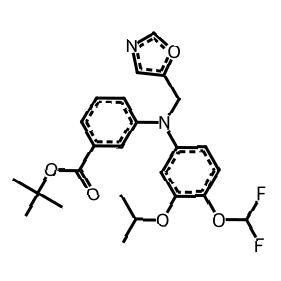 CC(C)Oc1cc(N(Cc2cnco2)c2cccc(C(=O)OC(C)(C)C)c2)ccc1OC(F)F